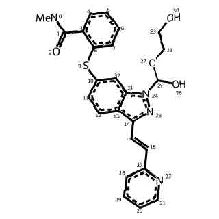 CNC(=O)c1ccccc1Sc1ccc2c(/C=C/c3ccccn3)nn(C(O)OCCO)c2c1